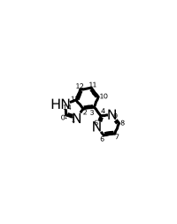 [c]1nc2c(-c3ncccn3)cccc2[nH]1